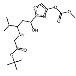 COC(=O)Oc1csc(C(O)CC(NCC(=O)OC(C)(C)C)C(C)C)n1